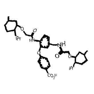 CC1CCC(C(C)C)C(OCC(=O)Nc2ccc(NC(=O)COC3CC(C)CCC3C(C)C)c(Oc3ccc(C(=O)O)cc3)c2)C1